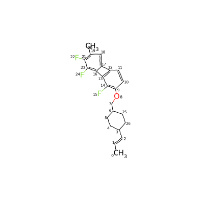 C/C=C/C1CCC(COc2ccc3c(c2F)-c2c-3cc(C)c(F)c2F)CC1